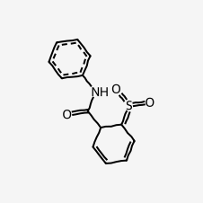 O=C(Nc1ccccc1)C1C=CC=CC1=S(=O)=O